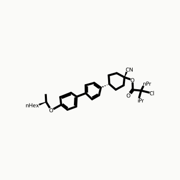 CCCCCC[C@@H](C)Oc1ccc(-c2ccc([C@H]3CC[C@@](C#N)(OC(=O)C(Cl)(CCC)C(C)C)CC3)cc2)cc1